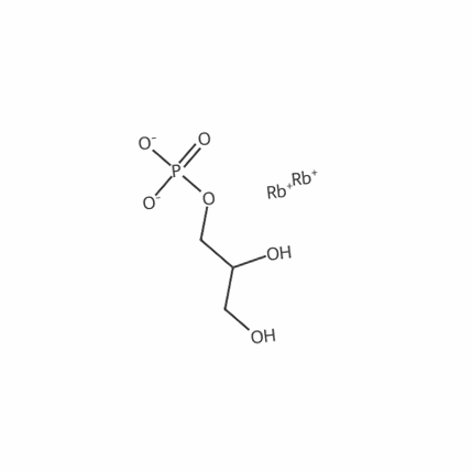 O=P([O-])([O-])OCC(O)CO.[Rb+].[Rb+]